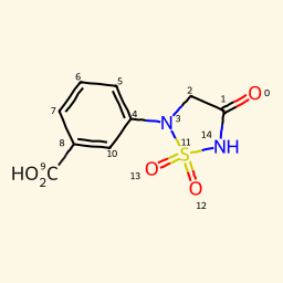 O=C1CN(c2cccc(C(=O)O)c2)S(=O)(=O)N1